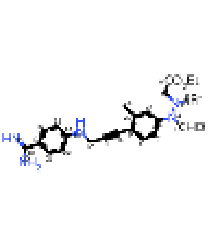 CCOC(=O)CN(C(C)C)N(C=O)c1ccc(C#CCNc2ccc(C(=N)N)cc2)c(C)c1